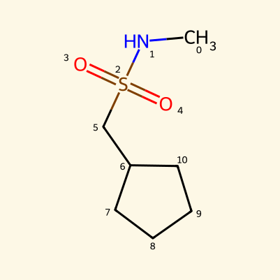 CNS(=O)(=O)CC1CCCC1